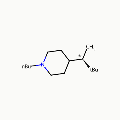 CCCCN1CCC([C@@H](C)C(C)(C)C)CC1